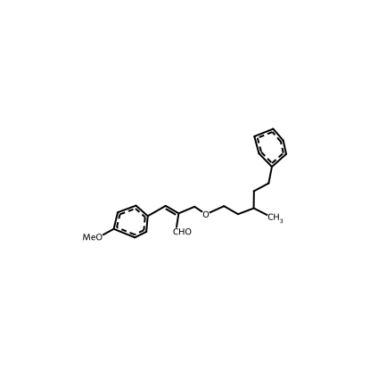 COc1ccc(/C=C(\C=O)COCCC(C)CCc2ccccc2)cc1